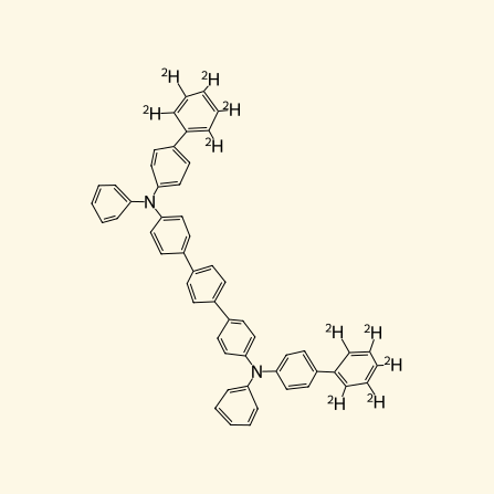 [2H]c1c([2H])c([2H])c(-c2ccc(N(c3ccccc3)c3ccc(-c4ccc(-c5ccc(N(c6ccccc6)c6ccc(-c7c([2H])c([2H])c([2H])c([2H])c7[2H])cc6)cc5)cc4)cc3)cc2)c([2H])c1[2H]